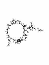 COCCOC1CC2CCC(C)C(O)(O2)C(=O)C(=O)N2CCCCC2C(=O)OC(C(C)C[C@@H]2CC[C@@H](OCCCO)[C@H](OC)C2)CC(=O)C(C)C=C(C)C(O)C(OC)C(=O)C(C)CC(C)C=CC=CC=C1C